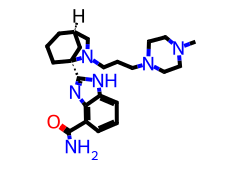 CN1CCN(CCCN2C[C@@H]3CCC[C@@]2(c2nc4c(C(N)=O)cccc4[nH]2)C3)CC1